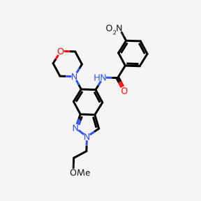 COCCn1cc2cc(NC(=O)c3cccc([N+](=O)[O-])c3)c(N3CCOCC3)cc2n1